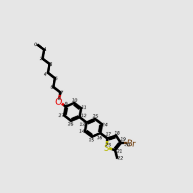 CCCCCCCCOc1ccc(-c2ccc(-c3cc(Br)c(C)s3)cc2)cc1